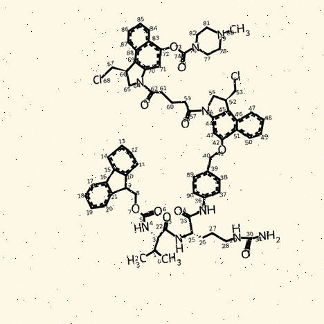 CC(C)[C@H](NC(=O)OCC1c2ccccc2-c2ccccc21)C(=O)N[C@@H](CCCNC(N)=O)C(=O)Nc1ccc(COc2cc3c(c4ccccc24)[C@H](CCl)CN3C(=O)CCCC(=O)N2C[C@@H](CCl)c3c2cc(OC(=O)N2CCN(C)CC2)c2ccccc32)cc1